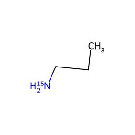 CCC[15NH2]